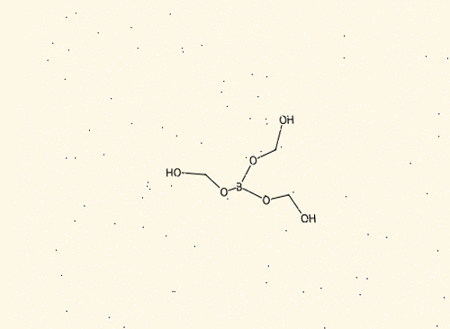 OCOB(OCO)OCO